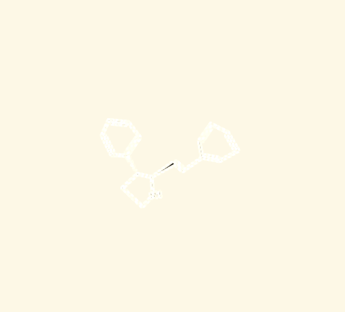 C(=C\[C@H]1NCC[C@@H]1c1ccccc1)/c1ccccc1